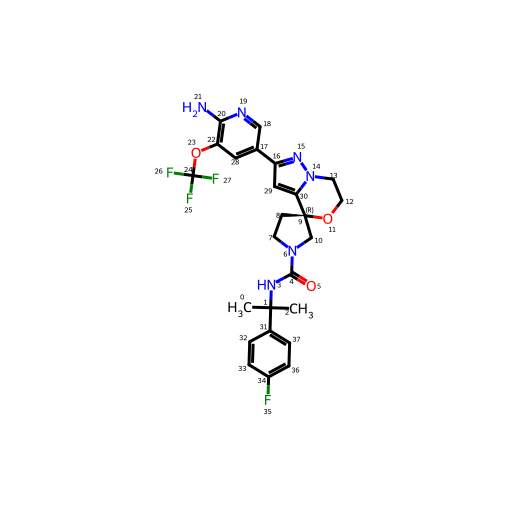 CC(C)(NC(=O)N1CC[C@]2(C1)OCCn1nc(-c3cnc(N)c(OC(F)(F)F)c3)cc12)c1ccc(F)cc1